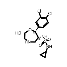 Cl.O=S(=O)(NC1CC1)N[C@@H]1CNCCO[C@H]1c1ccc(Cl)c(Cl)c1